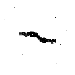 O=C(O)c1ccc(OC/C=C/COc2ccc(C(=O)O)cc2)cc1